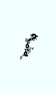 CCc1cc(F)cc(C)c1NC(Cc1ccc(-c2nnc(CNc3cc(C)ccn3)s2)cc1)C(=O)O